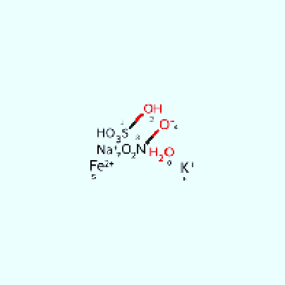 O.O=S(=O)(O)O.O=[N+]([O-])[O-].[Fe+2].[K+].[Na+]